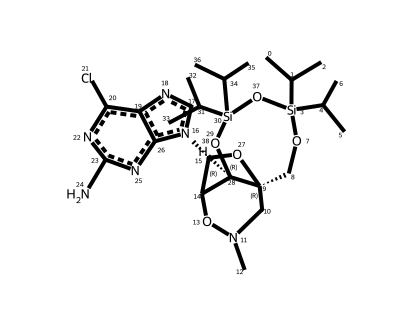 CC(C)[Si]1(C(C)C)OC[C@@]23CN(C)OC([C@H](n4cnc5c(Cl)nc(N)nc54)O2)[C@H]3O[Si](C(C)C)(C(C)C)O1